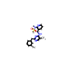 CC(=O)c1cccc(Cc2ncc(C(F)(F)F)c(NCc3cccnc3N(C)S(C)(=O)=O)n2)c1